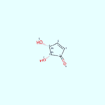 O=C1C=C[C@@H](O)[C@H]1O